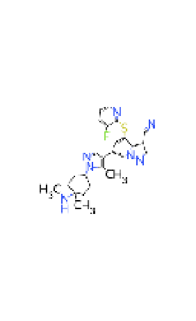 CNC1(C)CCC(n2ncc(-c3cc(Sc4ncccc4F)c4c(C#N)cnn4c3)c2C)CC1